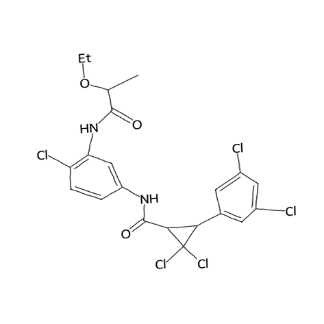 CCOC(C)C(=O)Nc1cc(NC(=O)C2C(c3cc(Cl)cc(Cl)c3)C2(Cl)Cl)ccc1Cl